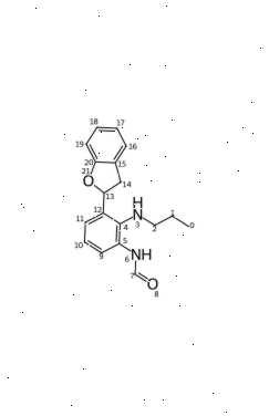 CCCNc1c(NC=O)cccc1C1Cc2ccccc2O1